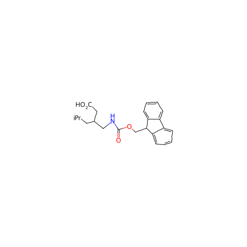 CC(C)CC(CNC(=O)OCC1c2ccccc2-c2ccccc21)CC(=O)O